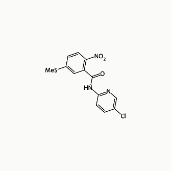 CSc1ccc([N+](=O)[O-])c(C(=O)Nc2ccc(Cl)cn2)c1